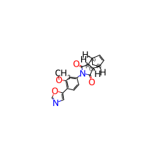 COc1cc(N2C(=O)[C@@H]3[C@H](C2=O)[C@@H]2C=C[C@H]3C2)ccc1-c1cnco1